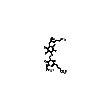 CCCCC(CCCN)Cc1c(F)c(F)c(SCC(NC(=O)CCCC(=O)O)C(=O)NCC(=O)O)c(F)c1F